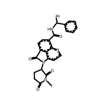 CC(C)C(NC(=O)c1ccc2c3c(ccnc13)N(C1CCC(=O)N(I)C1=O)C2=O)c1ccccc1